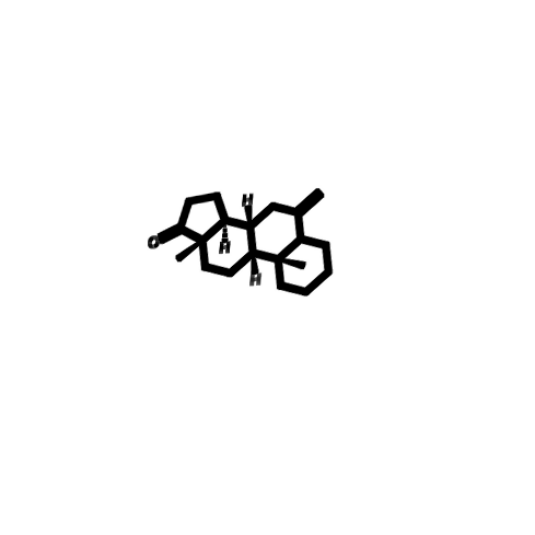 C=C1C[C@@H]2[C@@H](CC[C@]3(C)C(=O)CC[C@@H]23)[C@@]2(C)CCCCC12